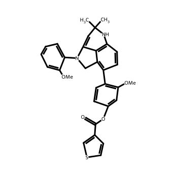 COc1cc(OC(=O)c2ccsc2)ccc1-c1ccc2c3c1CN(c1ccccc1OC)C3=CC(C)(C)N2